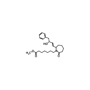 COC(=O)CCCCCCN1C(=O)CCCCC1C=CC(O)Cc1ccccc1